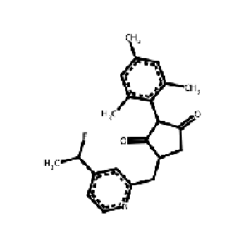 Cc1cc(C)c(C2C(=O)CC(Cc3cc(C(C)F)ccn3)C2=O)c(C)c1